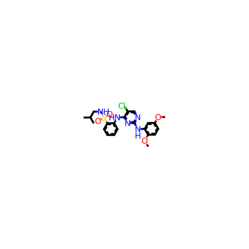 COc1ccc(OC)c(Nc2ncc(Cl)c(Nc3ccccc3S(=O)(=O)NCC(C)C)n2)c1